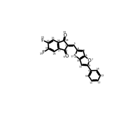 O=C1C(=Cc2cc3oc(-c4ccccc4)cc3s2)C(=O)c2cc(F)c(F)cc21